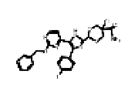 CC1(C(N)=O)COC(c2nc(-c3ccc(F)cc3)c(-c3ccnc(OCc4ccccc4)n3)[nH]2)OC1